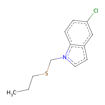 CCCSCn1ccc2cc(Cl)ccc21